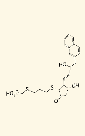 O=C(O)CSCCCS[C@H]1C(=O)C[C@@H](O)[C@@H]1C=CC(O)Cc1ccc2ccccc2c1